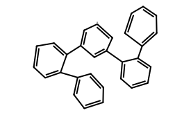 [c]1cc(-c2ccccc2-c2ccccc2)cc(-c2ccccc2-c2ccccc2)c1